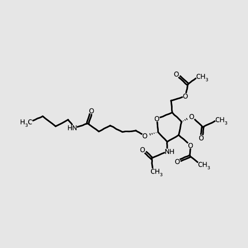 CCCCNC(=O)CCCCO[C@@H]1OC(COC(C)=O)[C@H](OC(C)=O)C(OC(C)=O)C1NC(C)=O